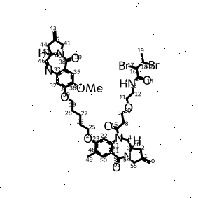 C=C1C[C@H]2CN(C(=O)CCOCCNC(=O)C(Br)C(C)Br)c3cc(OCCCCCOc4cc5c(cc4OC)C(=O)N4CC(=C)C[C@H]4C=N5)c(C)cc3C(=O)N2C1